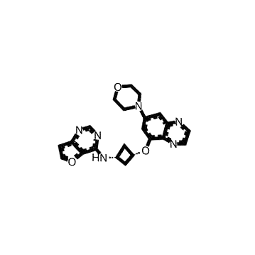 c1cnc2c(O[C@H]3C[C@@H](Nc4ncnc5ccoc45)C3)cc(N3CCOCC3)cc2n1